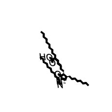 CCCCCCCCCC=[N+]=[N-].CCCCCCCCCCC(=CC=CCC[C@H]1C(=O)C=C[C@@H]1CCCCCCCC)C(=O)O